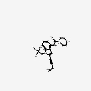 NCC#Cc1cc2c(NC(=O)N3CCOCC3)cccc2n1CC(F)(F)F